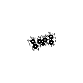 [2H]c1c([2H])c(-n2c3c([2H])c([2H])c([2H])c([2H])c3c3c([2H])c([2H])c([2H])c([2H])c32)c([2H])c2c1-c1c([2H])c([2H])c(-n3c4c([2H])c([2H])c([2H])c([2H])c4c4c([2H])c([2H])c([2H])c([2H])c43)c([2H])c1C2(C([2H])([2H])[2H])C([2H])([2H])[2H]